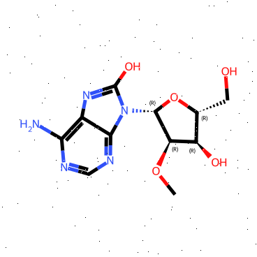 CO[C@@H]1[C@H](O)[C@@H](CO)O[C@H]1n1c(O)nc2c(N)ncnc21